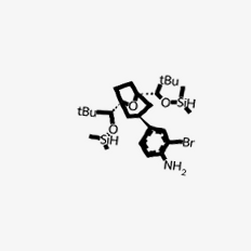 C[SiH](C)OC(C(C)(C)C)[C@@]12CC[C@@](C(O[SiH](C)C)C(C)(C)C)(C[C@@H](c3ccc(N)c(Br)c3)C1)O2